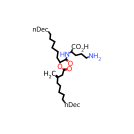 C=C(CCCCCCCCCCCCCCC)CC(=O)OC(CCCCCCCCCCCCCCCC)C(=O)NC(CCCN)C(=O)O